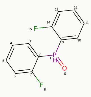 O=[PH](c1ccccc1F)c1ccccc1F